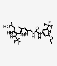 CCOc1cc(NC(=O)NCc2cc(C)c(-c3c(C(F)(F)F)n[nH]c3C[C@H](C)O)nn2)cc(C(F)(F)F)n1